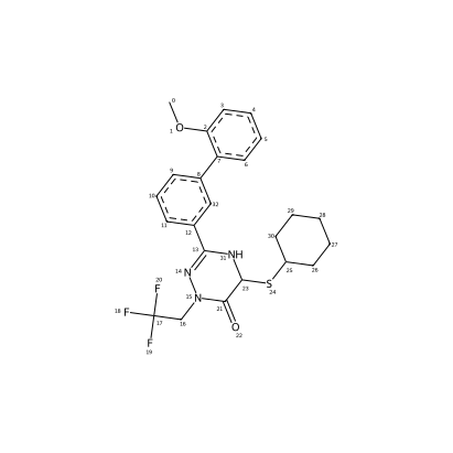 COc1ccccc1-c1cccc(C2=NN(CC(F)(F)F)C(=O)C(SC3CCCCC3)N2)c1